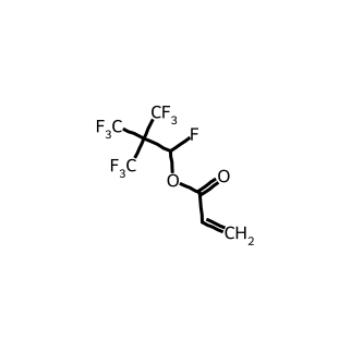 C=CC(=O)OC(F)C(C(F)(F)F)(C(F)(F)F)C(F)(F)F